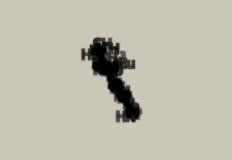 Cc1n[nH]c(Nc2ncnc3cc(OCC4CCN(c5ncc(OC[C@H]6CNCCO6)cn5)CC4)c([S+]([O-])C(C)(C)C)cc23)c1C